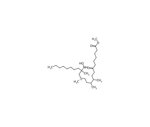 CCCCCCCCC(C)(C[C@@H](C)CCC(C)C(C)CCC(=O)CCCCCC(=O)OC)NO